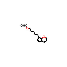 O=[C]OCCCCCc1ccc2cccoc1-2